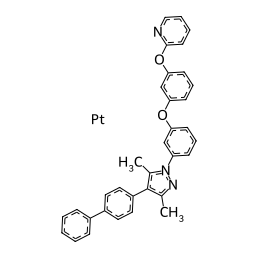 Cc1nn(-c2cccc(Oc3cccc(Oc4ccccn4)c3)c2)c(C)c1-c1ccc(-c2ccccc2)cc1.[Pt]